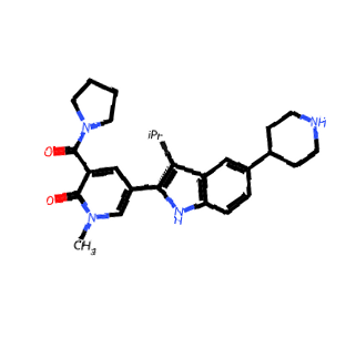 CC(C)c1c(-c2cc(C(=O)N3CCCC3)c(=O)n(C)c2)[nH]c2ccc(C3CCNCC3)cc12